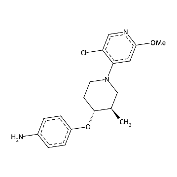 COc1cc(N2CC[C@@H](Oc3ccc(N)cc3)[C@H](C)C2)c(Cl)cn1